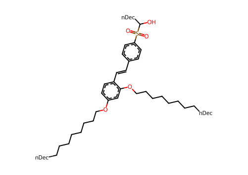 CCCCCCCCCCCCCCCCCCOc1ccc(C=Cc2ccc(S(=O)(=O)C(O)CCCCCCCCCC)cc2)c(OCCCCCCCCCCCCCCCCCC)c1